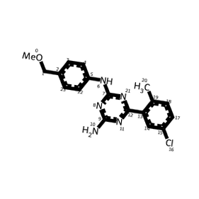 COCc1ccc(Nc2nc(N)nc(-c3cc(Cl)ccc3C)n2)cc1